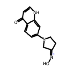 O=c1cc[nH]c2cc(N3CC/C(=N/O)C3)ccc12